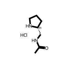 CC(=O)NC[C@H]1CCCN1.Cl